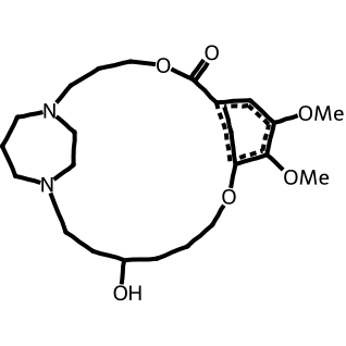 COc1cc2cc(c1OC)OCCCC(O)CCN1CCCN(CCCOC2=O)CC1